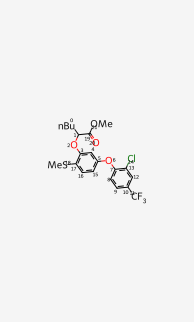 CCCCC(Oc1cc(Oc2ccc(C(F)(F)F)cc2Cl)ccc1SC)C(=O)OC